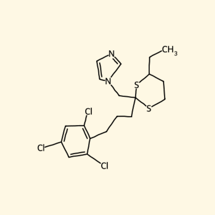 CCC1CCSC(CCCc2c(Cl)cc(Cl)cc2Cl)(Cn2ccnc2)S1